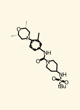 Cc1cc(NC(=O)N2CCC(NS(=O)(=O)C(C)(C)C)CC2)ccc1N1C[C@@H](C)O[C@@H](C)C1